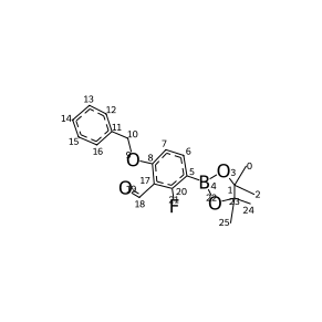 CC1(C)OB(c2ccc(OCc3ccccc3)c(C=O)c2F)OC1(C)C